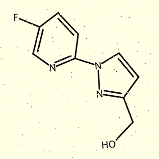 OCc1ccn(-c2ccc(F)cn2)n1